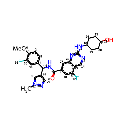 COc1ccc(C(NC(=O)c2cc(F)c3cnc(NC4CCC(O)CC4)nc3c2)c2cnn(C)c2)cc1F